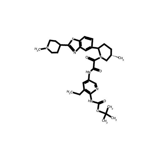 CCc1cc(NC(=O)C(=O)N2C[C@@H](C)CCC2c2ccc3sc(C4CCN(C)CC4)nc3c2)cnc1NC(=O)OC(C)(C)C